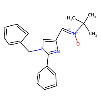 CC(C)(C)/[N+]([O-])=C/c1cn(Cc2ccccc2)c(-c2ccccc2)n1